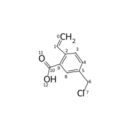 C=Cc1ccc(CCl)cc1C(=O)O